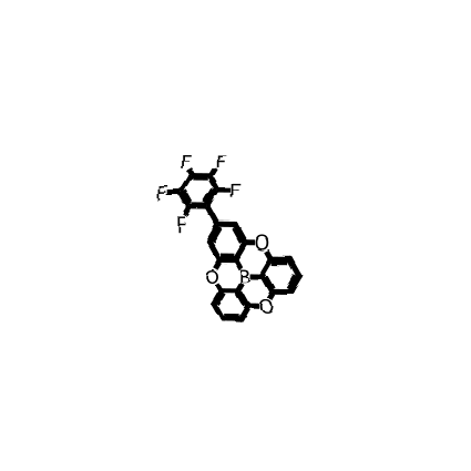 Fc1c(F)c(F)c(-c2cc3c4c(c2)Oc2cccc5c2B4c2c(cccc2O3)O5)c(F)c1F